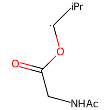 CC(=O)NCC(=O)O[CH]C(C)C